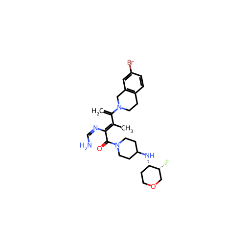 C=C(/C(C)=C(\N=C/N)C(=O)N1CCC(N[C@H]2CCOC[C@H]2F)CC1)N1CCc2ccc(Br)cc2C1